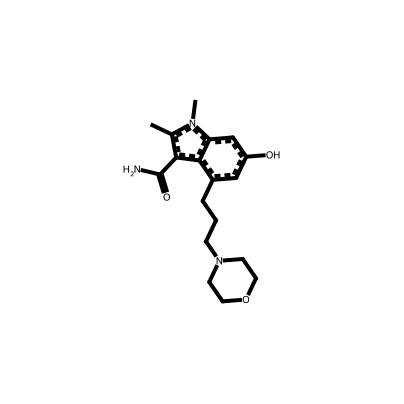 Cc1c(C(N)=O)c2c(CCCN3CCOCC3)cc(O)cc2n1C